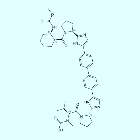 COC(=O)N[C@@H]1CCCC[C@@H]1C(=O)N1CCC[C@H]1c1ncc(-c2ccc(-c3ccc(-c4cnc([C@@H]5CCCN5C(=O)[C@H](C(C)C)N(C)C(=O)O)[nH]4)cc3)cc2)[nH]1